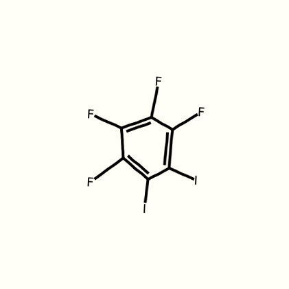 Fc1c(F)c(F)c(I)c(I)c1F